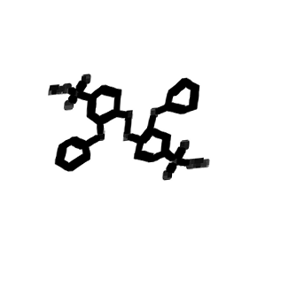 COS(=O)(=O)c1ccc(SSc2ccc(S(=O)(=O)OC)cc2Sc2ccccc2)c(Sc2ccccc2)c1